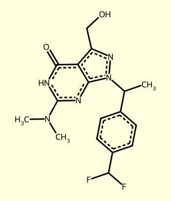 CC(c1ccc(C(F)F)cc1)n1nc(CO)c2c(=O)[nH]c(N(C)C)nc21